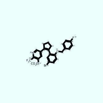 CCOC(=O)c1cc(C2=C(c3cc(Br)ccc3OCc3ccc(F)cc3)CCC2)cnc1C(F)(F)F